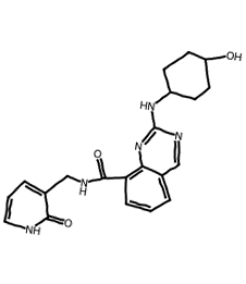 O=C(NCc1ccc[nH]c1=O)c1cccc2cnc(NC3CCC(O)CC3)nc12